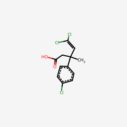 CC(C=C(Cl)Cl)(CC(=O)O)c1ccc(Cl)cc1